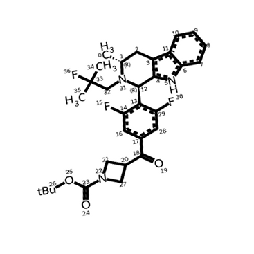 C[C@@H]1Cc2c([nH]c3ccccc23)[C@@H](c2c(F)cc(C(=O)C3CN(C(=O)OC(C)(C)C)C3)cc2F)N1CC(C)(C)F